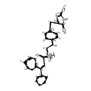 O=C(CC(c1ccccc1)c1ccccc1)NCCc1ccc(CC2SC(=O)NC2=O)cc1